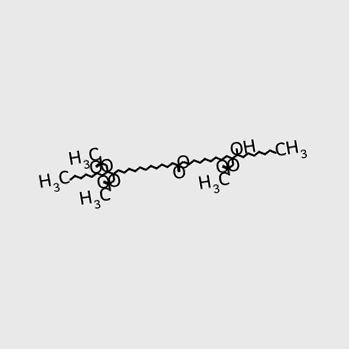 CCCCCCCCC(O)C(CCCCCCCCOC(=O)CCCCCCCCCCCC(OC(=O)CC)C(CCCCCCCC)OC(=O)CC)OC(=O)CC